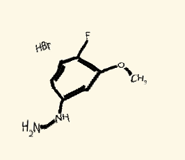 Br.COc1cc(NN)ccc1F